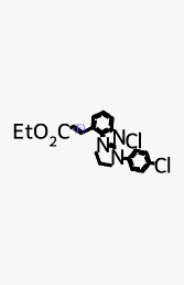 CCOC(=O)/C=C/c1cccc2nc3n(c12)CCCN3c1ccc(Cl)cc1Cl